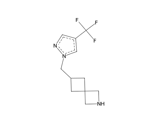 FC(F)(F)c1cnn(CC2CC3(CNC3)C2)c1